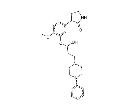 COc1ccc(C2CCNC2=O)cc1OC(O)CCN1CCN(c2ccccc2)CC1